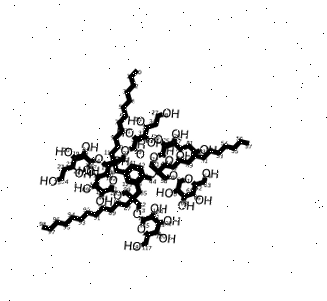 CCCCCCCCCCCCC(CO[C@H](O)/C(O)=C(/O)[C@H](O)CCO)(CO[C@H](O)/C(O)=C(\O)[C@H](O)CCO)Cc1ccc(C[C@](CCCCCCCCCCCC)(CO[C@@H]2OC(CO)[C@@H](O)C(O)C2O)CO[C@H](O)/C(O)=C(/O)[C@H](O)CCO)c(CC(CCCCCCCCCCCC)(CO[C@@H]2OC(CO)[C@@H](O)C(O)C2O)CO[C@@H]2OC(CO)[C@@H](O)C(O)C2O)c1